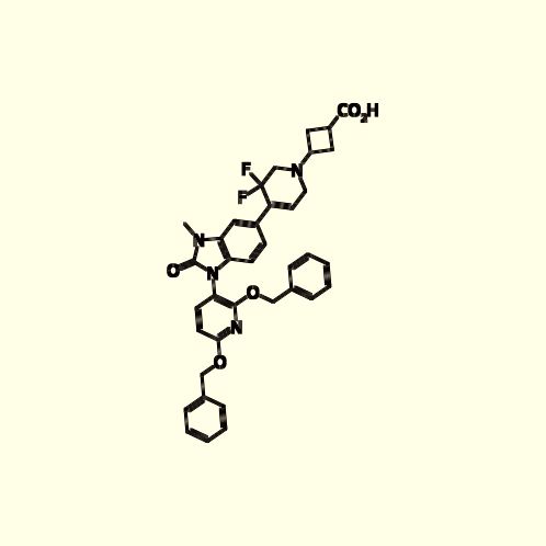 Cn1c(=O)n(-c2ccc(OCc3ccccc3)nc2OCc2ccccc2)c2ccc(C3=CCN(C4CC(C(=O)O)C4)CC3(F)F)cc21